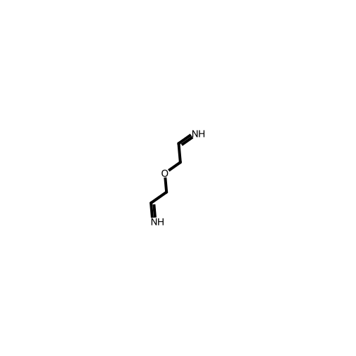 N=CCOCC=N